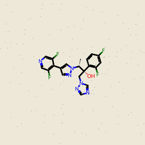 C[C@@H](n1cc(-c2c(F)cncc2F)cn1)[C@](O)(Cn1cncn1)c1ccc(F)cc1F